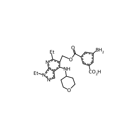 Bc1cc(C(=O)O)cc(C(=O)OCc2c(CC)nc3c(cnn3CC)c2NC2CCOCC2)c1